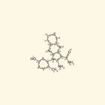 Cc1ccc(O)cc1-n1c(N)c(C(N)=O)c2nc3ccccc3nc21